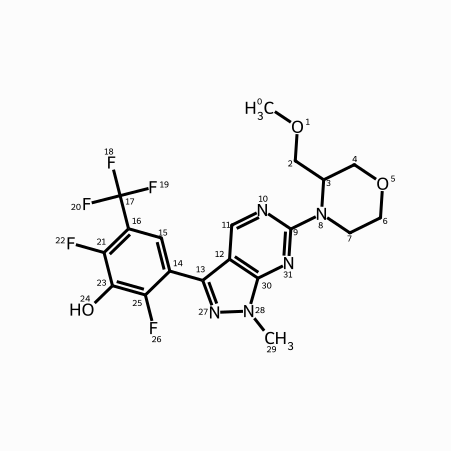 COCC1COCCN1c1ncc2c(-c3cc(C(F)(F)F)c(F)c(O)c3F)nn(C)c2n1